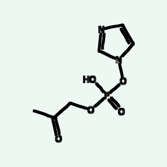 CC(=O)COP(=O)(O)On1ccnc1